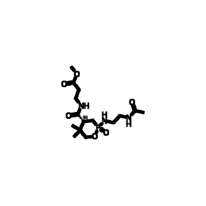 COC(=O)CCNC(=O)[C@@H]1CP(=O)(NCCNC(C)=O)OCC1(C)C